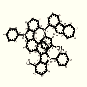 Cc1cccc(N(c2cccc3c2oc2ccccc23)c2cccc3c2c2c4ccc5c(c4ccc2n3-c2ccccc2)c2c(Cl)cccc2n5-c2ccccc2)c1